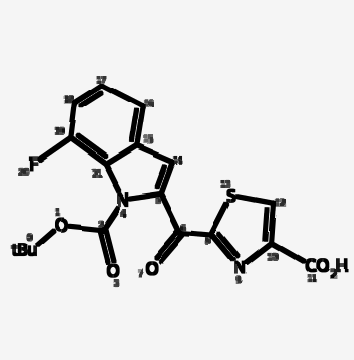 CC(C)(C)OC(=O)n1c(C(=O)c2nc(C(=O)O)cs2)cc2cccc(F)c21